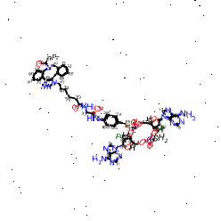 B[P@]1(=O)OC[C@H]2O[C@@H](n3cnc4c(N)ncnc43)[C@H](F)[C@@H]2O[P@@](=O)(SCc2ccc(NC(=O)CNC(=O)CCCCCn3nnc4c3-c3ccccc3CN(C(=O)CCC)c3ccccc3-4)cc2)OC[C@H]2O[C@@H](n3cnc4c(N)ncnc43)[C@H](F)[C@@H]2O1